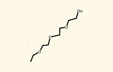 CCOCCOCCOC[CH]O